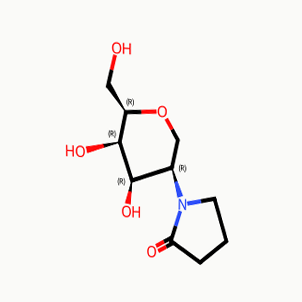 O=C1CCCN1[C@@H]1CO[C@H](CO)[C@H](O)[C@@H]1O